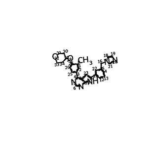 Cc1cc(-c2ncnc3[nH]c(-c4cccc(Cn5ccnc5)c4)cc23)ccc1OC1CCOCC1